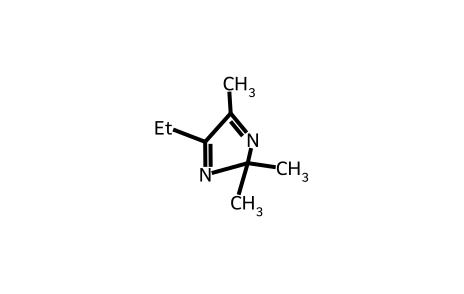 CCC1=NC(C)(C)N=C1C